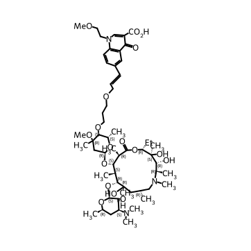 CC[C@H]1OC(=O)[C@H](C)[C@@H](O[C@H]2C[C@@](C)(OC)[C@@H](OCCCOCC=Cc3ccc4c(c3)c(=O)c(C(=O)O)cn4CCOC)[C@H](C)O2)[C@H](C)[C@@H](O[C@@H]2O[C@H](C)C[C@H](N(C)C)[C@H]2O)[C@](C)(O)C[C@@H](C)CN(C)[C@H](C)[C@@H](O)[C@]1(C)O